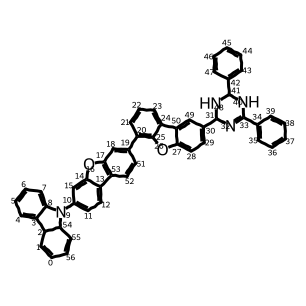 C1=CC2c3ccccc3N(c3ccc4c(c3)oc3cc(-c5cccc6c5oc5ccc(C7N=C(c8ccccc8)NC(c8ccccc8)N7)cc56)ccc34)C2C=C1